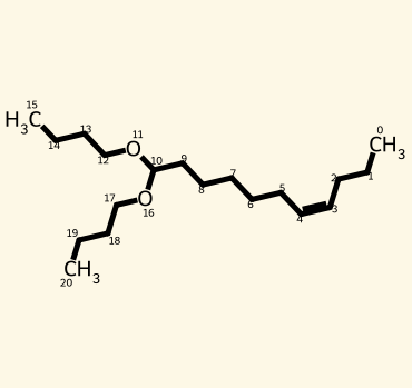 CCC/C=C\CCCCCC(OCCCC)OCCCC